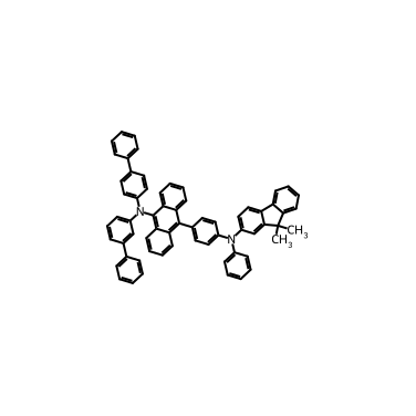 CC1(C)c2ccccc2-c2ccc(N(c3ccccc3)c3ccc(-c4c5ccccc5c(N(c5ccc(-c6ccccc6)cc5)c5cccc(-c6ccccc6)c5)c5ccccc45)cc3)cc21